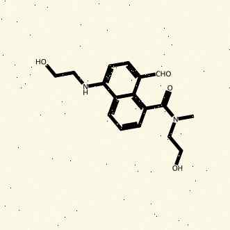 CN(CCO)C(=O)c1cccc2c(NCCO)ccc(C=O)c12